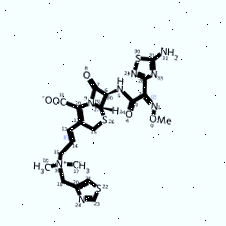 CO/N=C(\C(=O)N[C@@H]1C(=O)N2C(C(=O)[O-])=C(/C=C/C[N+](C)(C)Cc3cscn3)CS[C@@H]12)c1nsc(N)n1